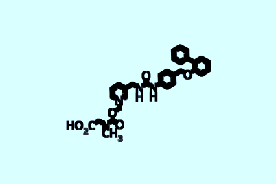 CN(CC(=O)O)C(=O)OC[n+]1cccc(CNC(=O)Nc2ccc(COc3ccccc3-c3ccccc3)cc2)c1